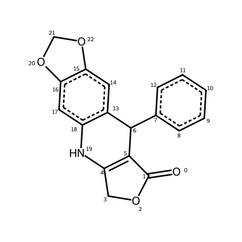 O=C1OCC2=C1C(c1ccccc1)c1cc3c(cc1N2)OCO3